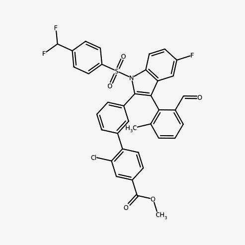 COC(=O)c1ccc(-c2cccc(-c3c(-c4c(C)cccc4C=O)c4cc(F)ccc4n3S(=O)(=O)c3ccc(C(F)F)cc3)c2)c(Cl)c1